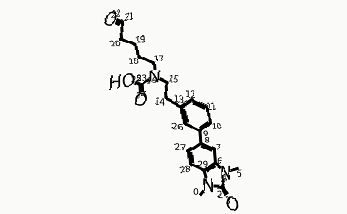 Cn1c(=O)n(C)c2cc(-c3cccc(CCN(CCCCC=O)C(=O)O)c3)ccc21